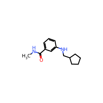 CNC(=O)c1cccc(NCC2CCCC2)c1